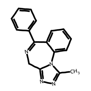 Cc1nnc2n1-c1ccccc1C(c1ccccc1)=NC2